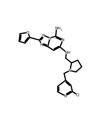 Nc1nc(NCC2CCCN2Cc2ccnc(Cl)c2)cc2nc(-c3ccco3)nn12